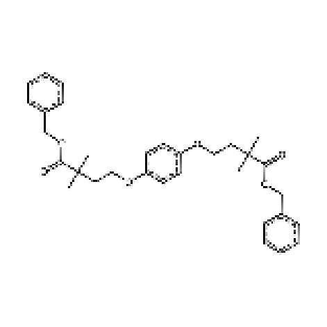 CC(C)(CCOc1ccc(OCCC(C)(C)C(=O)OCc2ccccc2)cc1)C(=O)OCc1ccccc1